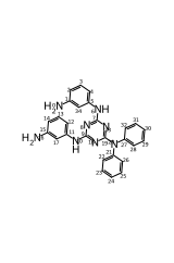 Nc1cccc(Nc2nc(Nc3cccc(N)c3)nc(N(c3ccccc3)c3ccccc3)n2)c1